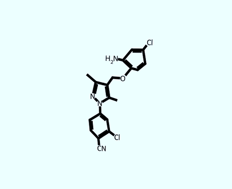 Cc1nn(-c2ccc(C#N)c(Cl)c2)c(C)c1COc1ccc(Cl)cc1N